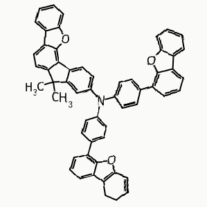 CC1(C)c2cc(N(c3ccc(-c4cccc5c6c(oc45)C=CCC6)cc3)c3ccc(-c4cccc5c4oc4ccccc45)cc3)ccc2-c2c1ccc1c2oc2ccccc21